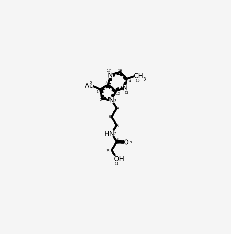 CC(=O)c1cn(CCCNC(=O)CO)c2nc(C)cnc12